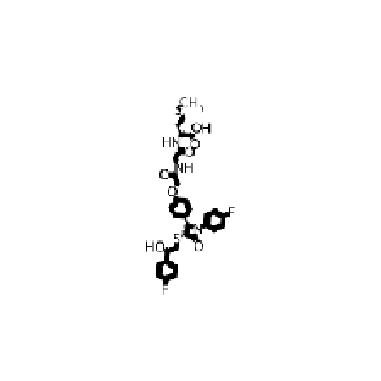 CSCC[C@H](NC(=O)CNC(=O)COc1ccc([C@@H]2[C@@H](SCC(O)c3ccc(F)cc3)C(=O)N2c2ccc(F)cc2)cc1)C(=O)O